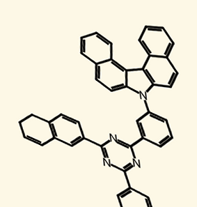 C1=Cc2cc(-c3nc(-c4ccccc4)nc(-c4cccc(-n5c6ccc7ccccc7c6c6c7ccccc7ccc65)c4)n3)ccc2CC1